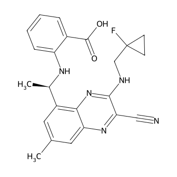 Cc1cc([C@@H](C)Nc2ccccc2C(=O)O)c2nc(NCC3(F)CC3)c(C#N)nc2c1